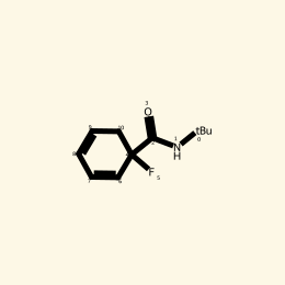 CC(C)(C)NC(=O)C1(F)C=CC=CC1